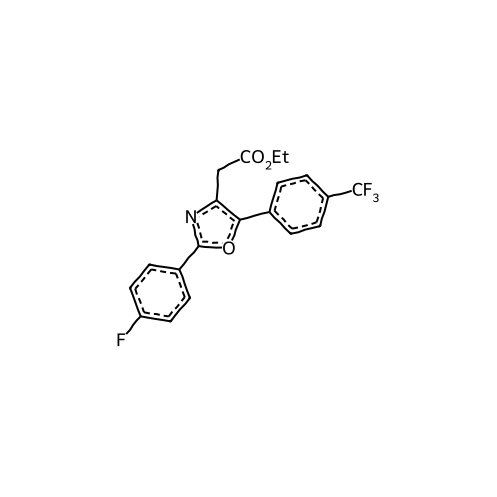 CCOC(=O)Cc1nc(-c2ccc(F)cc2)oc1-c1ccc(C(F)(F)F)cc1